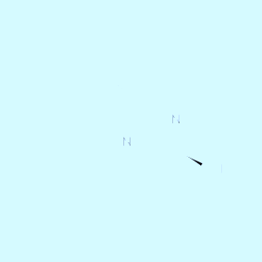 C[C@H]1CN2C(=N1)Sc1ccccc12